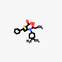 CCC(=O)N(c1cc(C2=CCCCC2)sc1C(=O)O)C1CCC(C)(C)CC1